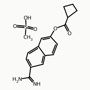 CS(=O)(=O)O.N=C(N)c1ccc2cc(OC(=O)C3CCC3)ccc2c1